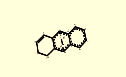 C1=Cc2c(c3c4ccccc4c2CC3)CC1